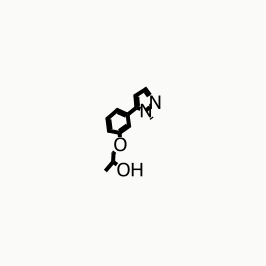 CC(O)COc1cccc(-c2ccnn2C)c1